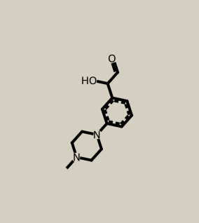 CN1CCN(c2cccc(C(O)C=O)c2)CC1